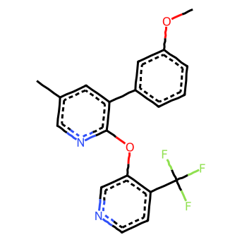 COc1cccc(-c2cc(C)cnc2Oc2cnccc2C(F)(F)F)c1